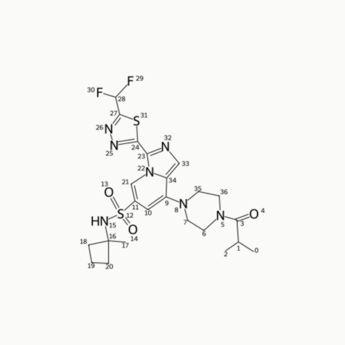 CC(C)C(=O)N1CCN(c2cc(S(=O)(=O)NC3(C)CCC3)cn3c(-c4nnc(C(F)F)s4)ncc23)CC1